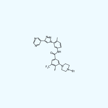 CCN1CCN(c2cc(C(=O)Nc3ccc(C)c(-n4cc(-c5cncnc5)nn4)c3)cc(C(F)(F)F)c2F)CC1